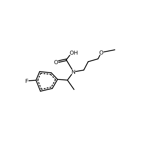 COCCCN(C(=O)O)C(C)c1ccc(F)cc1